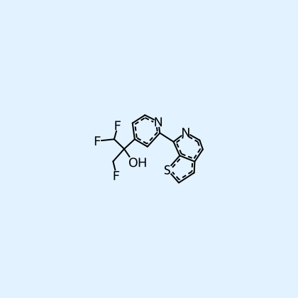 OC(CF)(c1ccnc(-c2nccc3ccsc23)c1)C(F)F